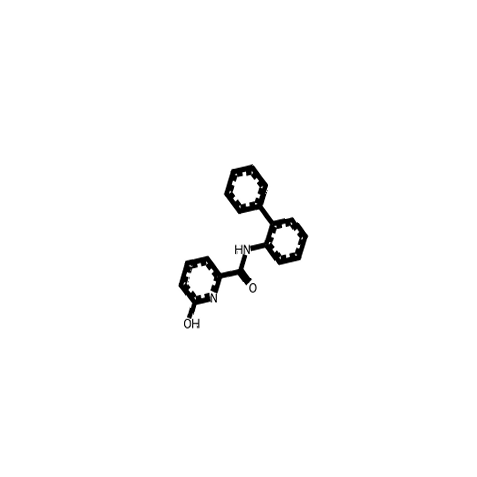 O=C(Nc1ccccc1-c1ccccc1)c1cccc(O)n1